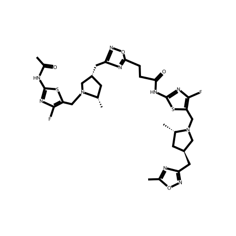 CC(=O)Nc1nc(F)c(CN2C[C@H](Cc3noc(CCC(=O)Nc4nc(F)c(CN5C[C@@H](Cc6noc(C)n6)C[C@@H]5C)s4)n3)C[C@@H]2C)s1